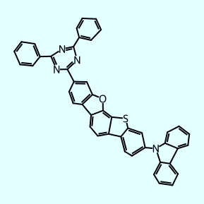 c1ccc(-c2nc(-c3ccccc3)nc(-c3ccc4c(c3)oc3c4ccc4c5ccc(-n6c7ccccc7c7ccccc76)cc5sc43)n2)cc1